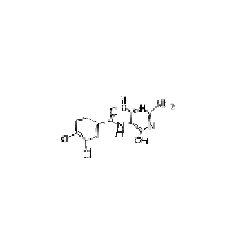 Nc1nc(O)c(NC(=O)c2ccc(Cl)c(Cl)c2)c(O)n1